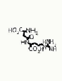 N=C(N)NCCCC(NC(=O)CC(N)C(=O)O)C(=O)O